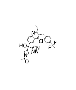 CCc1nc2ccc(C(O)(c3cnnn3C)C3CN(C(C)=O)C3)cc2c(Cl)c1Cc1ccc(C(C)(F)F)cc1